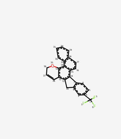 FC(F)(F)c1ccc2c(c1)Cc1c3c(c4c(ccc5ccccc54)c1-2)OCC=C3